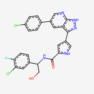 O=C(NC(CO)c1ccc(F)c(Cl)c1)c1cc(-c2n[nH]c3ncc(-c4ccc(Cl)cc4)cc23)c[nH]1